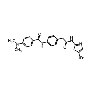 CC(C)c1cnc(NC(=O)Cc2ccc(NC(=O)c3ccc(N(C)C)cc3)cc2)s1